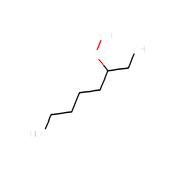 CCCCCC(CC)OO